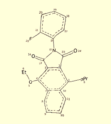 CCCc1c2c(c(OCC)c3ccccc13)C(=O)N(c1cc[c]cc1F)C2=O